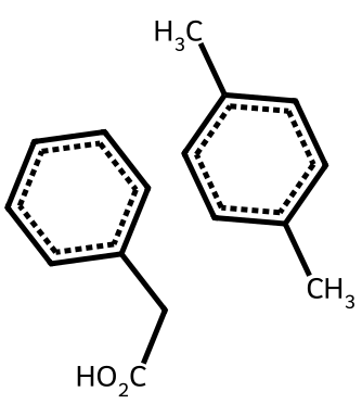 Cc1ccc(C)cc1.O=C(O)Cc1ccccc1